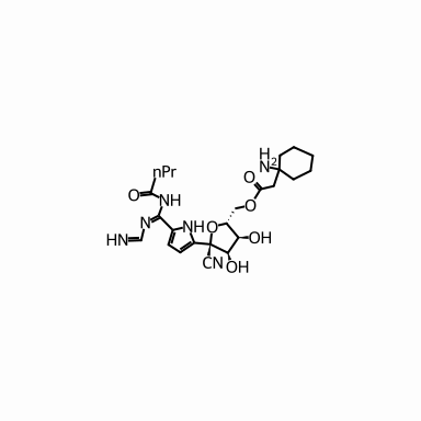 CCCC(=O)N/C(=N/C=N)c1ccc([C@]2(C#N)O[C@H](COC(=O)CC3(N)CCCCC3)[C@@H](O)[C@H]2O)[nH]1